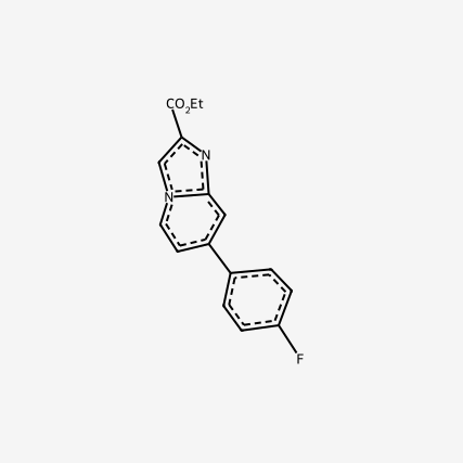 CCOC(=O)c1cn2ccc(-c3ccc(F)cc3)cc2n1